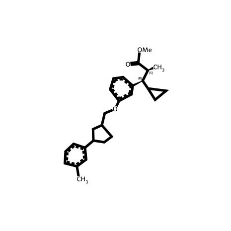 COC(=O)[C@@H](C)[C@H](c1cccc(OCC2CCC(c3cccc(C)c3)C2)c1)C1CC1